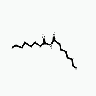 CCCCCCCC(=O)OC(=O)CCCCCCC